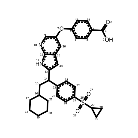 O=C(O)c1ccc(Oc2cnc3[nH]c(C(CC4CCCCC4)c4ccc(S(=O)(=O)C5CC5)cc4)cc3c2)cc1